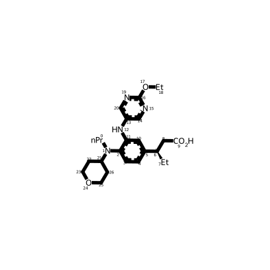 CCCN(c1ccc([C@H](CC)CC(=O)O)cc1Nc1cnc(OCC)nc1)C1CCOCC1